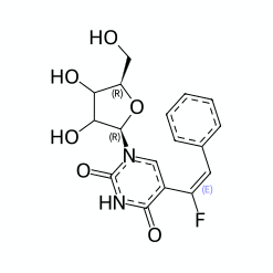 O=c1[nH]c(=O)n([C@@H]2O[C@H](CO)C(O)C2O)cc1/C(F)=C\c1ccccc1